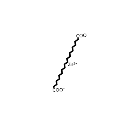 O=C([O-])CCCCCCCCCCCCCCCCCCC(=O)[O-].[Zn+2]